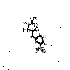 COC(=O)[C@H](C)NC(=O)Cc1cccc([N+](=O)[O-])c1